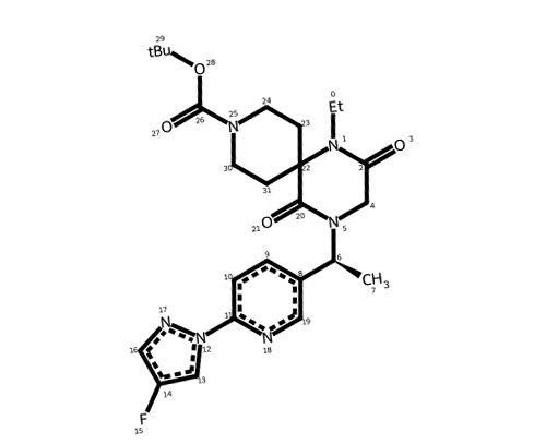 CCN1C(=O)CN([C@@H](C)c2ccc(-n3cc(F)cn3)nc2)C(=O)C12CCN(C(=O)OC(C)(C)C)CC2